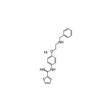 I.N=C(Nc1ccc(OCCNCc2ccccc2)cc1)c1cccs1